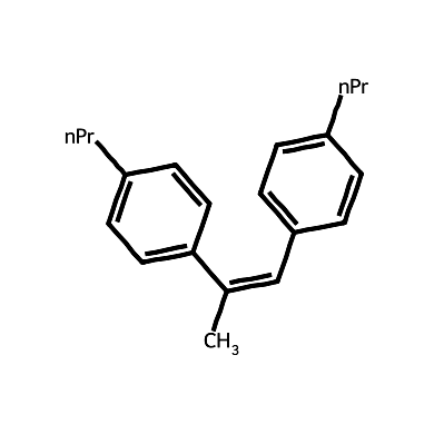 CCCc1ccc(C=C(C)c2ccc(CCC)cc2)cc1